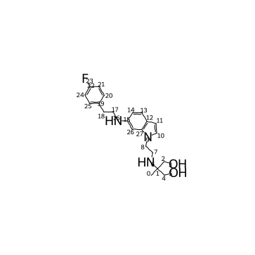 CC(CO)(CO)NCCn1ccc2ccc(NCCc3ccc(F)cc3)cc21